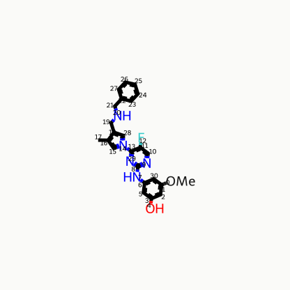 COc1cc(O)cc(Nc2ncc(F)c(-n3cc(C)c(CNCc4ccccc4)c3)n2)c1